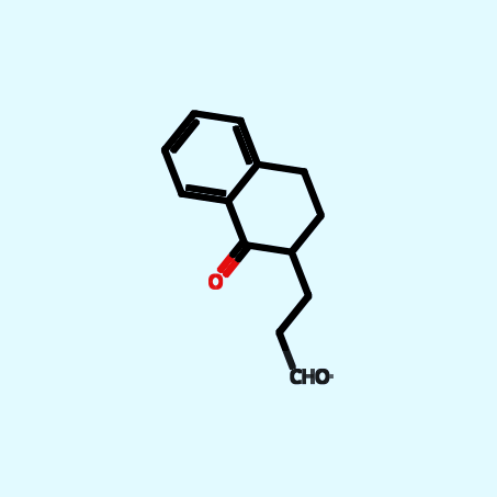 O=[C]CCC1CCc2ccccc2C1=O